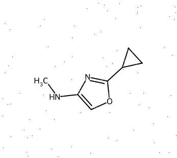 CNc1coc(C2CC2)n1